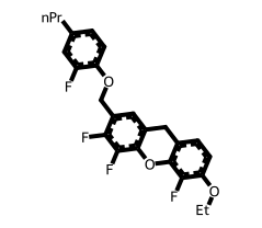 CCCc1ccc(OCc2cc3c(c(F)c2F)Oc2c(ccc(OCC)c2F)C3)c(F)c1